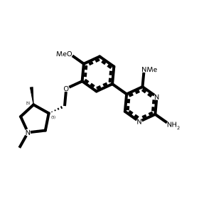 CNc1nc(N)ncc1-c1ccc(OC)c(OC[C@@H]2CN(C)C[C@H]2C)c1